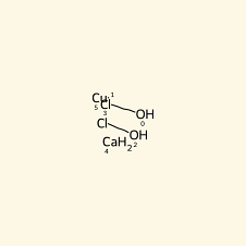 OCl.OCl.[CaH2].[Cu]